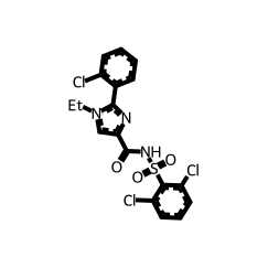 CCn1cc(C(=O)NS(=O)(=O)c2c(Cl)cccc2Cl)nc1-c1ccccc1Cl